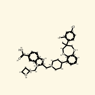 CC1(c2ccc(Cl)cc2F)COc2cccc(C3CCN(Cc4nc5ccc(C(=O)O)cc5n4C[C@@H]4CCO4)CC3)c2OC1